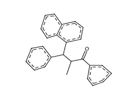 CC(C(=O)c1ccccc1)C(c1ccccc1)c1cccc2ccccc12